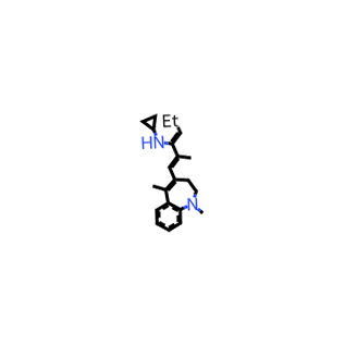 CC/C=C(NC1CC1)/C(C)=C/C1=C(C)c2ccccc2N(C)CC1